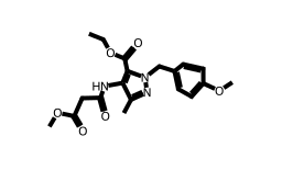 CCOC(=O)c1c(NC(=O)CC(=O)OC)c(C)nn1Cc1ccc(OC)cc1